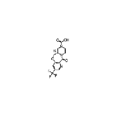 O=C(O)N1CCN2C(=O)c3ncc(C(F)(F)F)cc3OC[C@H]2C1